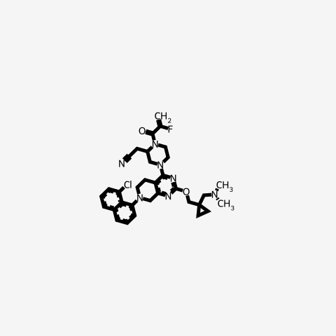 C=C(F)C(=O)N1CCN(c2nc(OCC3(CN(C)C)CC3)nc3c2CCN(c2cccc4cccc(Cl)c24)C3)CC1CC#N